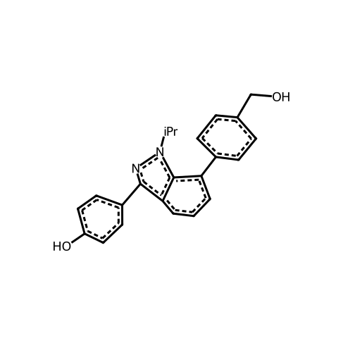 CC(C)n1nc(-c2ccc(O)cc2)c2cccc(-c3ccc(CO)cc3)c21